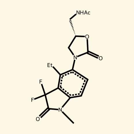 CCc1c(N2C[C@H](CNC(C)=O)OC2=O)ccc2c1C(F)(F)C(=O)N2C